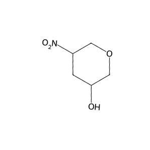 O=[N+]([O-])C1COCC(O)C1